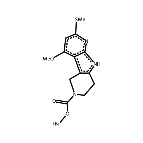 COc1cc(SC)nc2[nH]c3c(c12)CN(C(=O)OC(C)(C)C)CC3